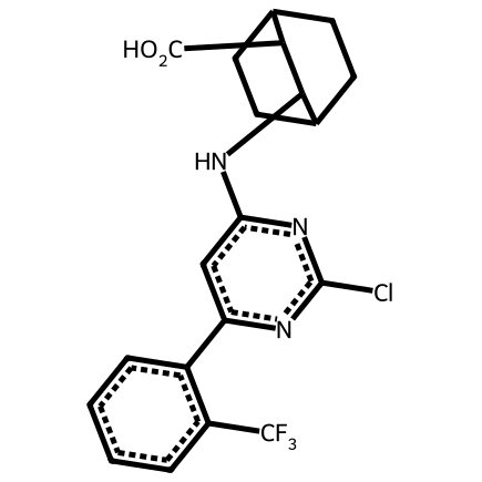 O=C(O)C1C2CCC(CC2)C1Nc1cc(-c2ccccc2C(F)(F)F)nc(Cl)n1